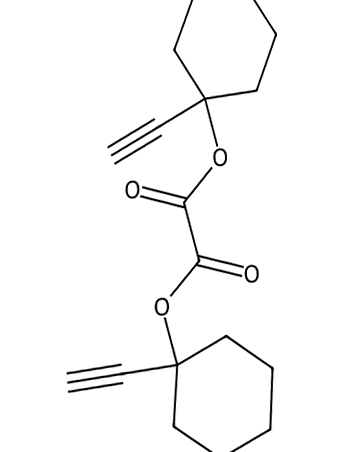 C#CC1(OC(=O)C(=O)OC2(C#C)CCCCC2)CCCCC1